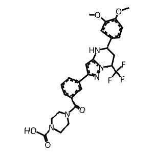 COc1ccc(C2CC(C(F)(F)F)n3nc(-c4cccc(C(=O)N5CCN(C(=O)O)CC5)c4)cc3N2)cc1OC